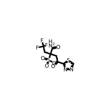 NC(=O)C(CC(=O)c1nncs1)(CC(F)(F)F)S(=O)(=O)Cl